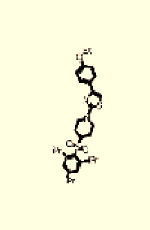 CCOc1ccc(-c2csc(N3CCC(S(=O)(=O)c4c(C(C)C)cc(C(C)C)cc4C(C)C)CC3)n2)cc1